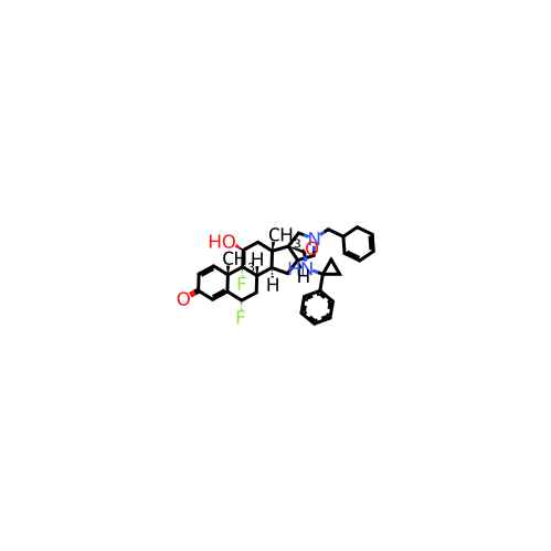 C[C@]12C=CC(=O)C=C1[C@@H](F)C[C@H]1[C@@H]3C[C@H]4CN(CC5C=CC=CC5)C[C@@]4(C(=O)NC4(c5ccccc5)CC4)[C@@]3(C)C[C@H](O)[C@@]12F